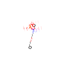 O=P(O)(O)OC=C(NCCCCCCOCCCCc1ccccc1)C(O)c1ccc(O)c(CO)c1